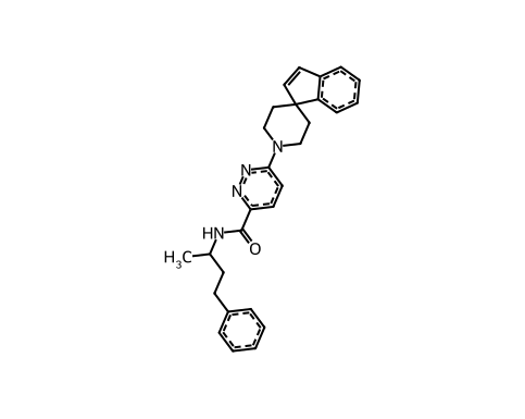 CC(CCc1ccccc1)NC(=O)c1ccc(N2CCC3(C=Cc4ccccc43)CC2)nn1